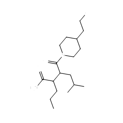 CCCC(C(N)=O)C(CC(C)C)C(=O)N1CCC(CCO)CC1